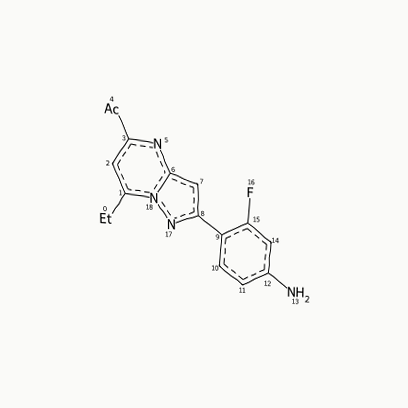 CCc1cc(C(C)=O)nc2cc(-c3ccc(N)cc3F)nn12